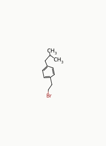 C[C](C)Cc1ccc(CCBr)cc1